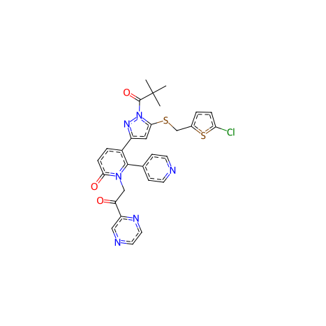 CC(C)(C)C(=O)n1nc(-c2ccc(=O)n(CC(=O)c3cnccn3)c2-c2ccncc2)cc1SCc1ccc(Cl)s1